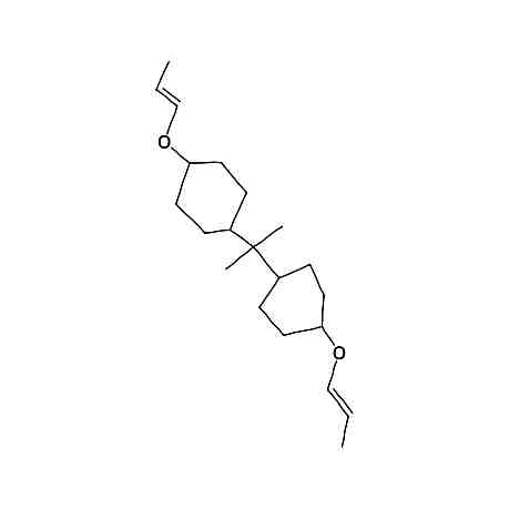 CC=COC1CCC(C(C)(C)C2CCC(OC=CC)CC2)CC1